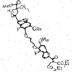 CCOC(=O)CC(C(=O)OCC)C(=O)c1ccc2c(F)c(OCCCOc3c(OC)cc4sc(C(=O)CC(C)(C)C(=O)OC)cc4c3F)c(OC)cc2n1